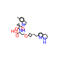 Cc1ccc2c(c1)N(C(=O)C1(C(=O)NC(CCO[C@H]3C[C@H](CCc4ccc5c(n4)NCCC5)C3)C(=O)O)CC1)CC2